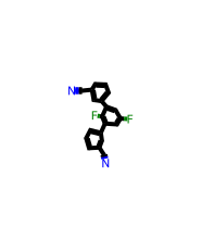 N#Cc1cccc(-c2cc(F)cc(-c3cccc(C#N)c3)c2F)c1